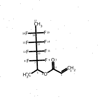 C=CC(=O)OC(C)C(F)(F)C(F)(F)C(F)(F)C(C)(F)F